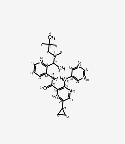 CN(CC(C)(C)O)C(O)c1ncccc1NC(=O)c1nc(C2CC2)cnc1Nc1cncnc1